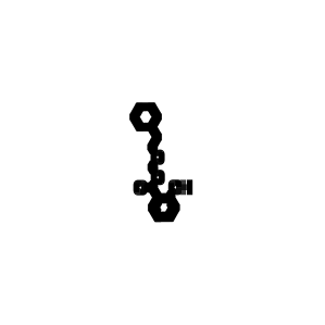 O=C(OCOCCC1CCCCC1)c1ccccc1O